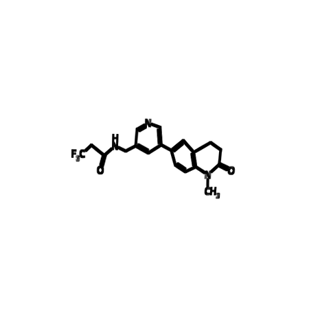 CN1C(=O)CCc2cc(-c3cncc(CNC(=O)CC(F)(F)F)c3)ccc21